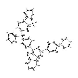 CC1(C)c2ccccc2-c2ccc(N(c3ccccc3)c3ccc(-c4cc(-c5ccc(-c6ccccc6)cc5)cc5c4oc4ccccc45)cc3)cc21